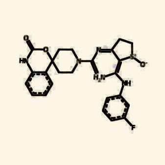 C=C(/N=C1/CC[S+]([O-])/C1=C(/N)Nc1cccc(F)c1)N1CCC2(CC1)OC(=O)Nc1ccccc12